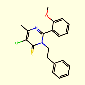 COc1ccccc1-c1nc(C)c(Cl)c(=S)n1CCc1ccccc1